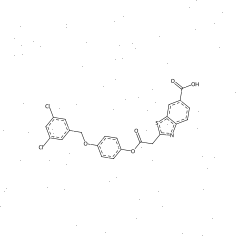 O=C(Cc1nc2ccc(C(=O)O)cc2s1)Oc1ccc(OCc2cc(Cl)cc(Cl)c2)cc1